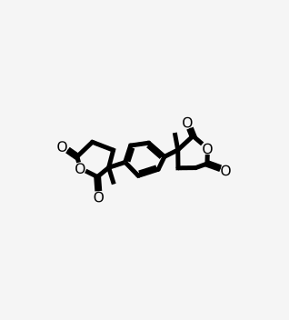 CC1(c2ccc(C3(C)CCC(=O)OC3=O)cc2)CCC(=O)OC1=O